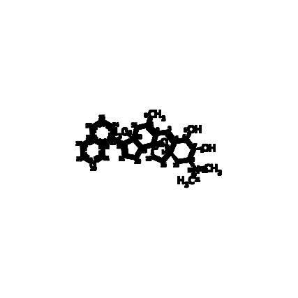 CC1=C2C=C3[C@@H](O)[C@H](O)[C@@H](N(C)C)C[C@]34CC[C@]2(O4)C2CC=C(c3cccc4ccncc34)[C@@]2(C)C1